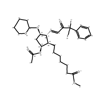 COC(=O)CCCCCC[C@@H]1[C@@H](C=CC(=O)C(F)(F)c2ccccc2)[C@H](OC2CCCCO2)C[C@@H]1OC(C)=O